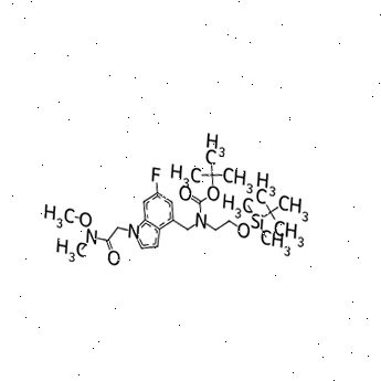 CON(C)C(=O)Cn1ccc2c(CN(CCO[Si](C)(C)C(C)(C)C)C(=O)OC(C)(C)C)cc(F)cc21